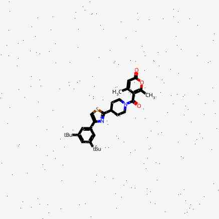 Cc1cc(=O)oc(C)c1C(=O)N1CCC(c2nc(-c3cc(C(C)(C)C)cc(C(C)(C)C)c3)cs2)CC1